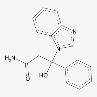 NC(=O)CC(O)(c1ccccc1)n1cnc2ccccc21